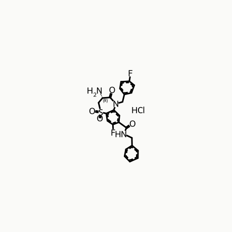 Cl.N[C@H]1CS(=O)(=O)c2cc(F)c(C(=O)NCc3ccccc3)cc2N(Cc2ccc(F)cc2)C1=O